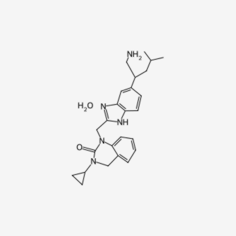 CC(C)CC(CN)c1ccc2[nH]c(CN3C(=O)N(C4CC4)Cc4ccccc43)nc2c1.O